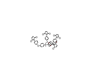 CC(CC(c1ccc(N2C(=O)C=CC2=O)cc1)c1ccc(N2C(=O)C=CC2=O)cc1)(c1ccc(Oc2ccc(N3C(=O)C=CC3=O)cc2)cc1)c1ccc(Oc2ccc(N3C(=O)C=CC3=O)cc2)cc1